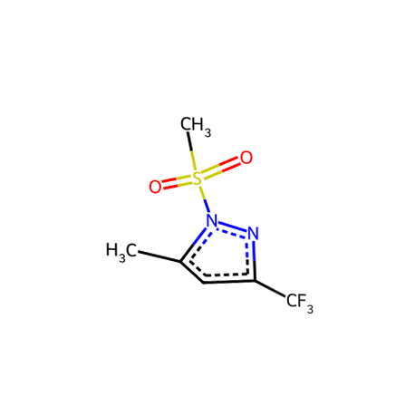 Cc1cc(C(F)(F)F)nn1S(C)(=O)=O